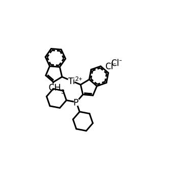 CC1=Cc2ccccc2[CH]1[Ti+2][CH]1C(P(C2CCCCC2)C2CCCCC2)=Cc2ccccc21.[Cl-].[Cl-]